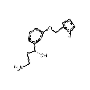 NCC[C@@H](O)c1cccc(OCc2ccc[nH]2)c1